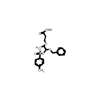 COC(=O)CCOC(C)C(OCc1ccccc1)OS(=O)(=O)c1ccc(C)cc1